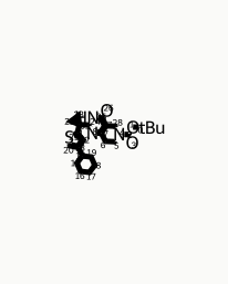 CC(C)(C)OC(=O)N1CCc2nc(C3(c4cc(C5CCCCC5)cs4)CC3)[nH]c(=O)c2C1